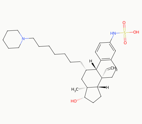 C=C[C@@]12CCc3cc(NS(=O)(=O)O)ccc3[C@H]1[C@@H](CCCCCCCN1CCCCC1)C[C@@]1(C)[C@H]2CC[C@@H]1O